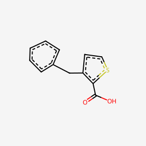 O=C(O)c1sccc1Cc1ccccc1